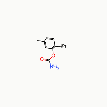 Cc1ccc(C(C)C)c(OC(N)=O)c1